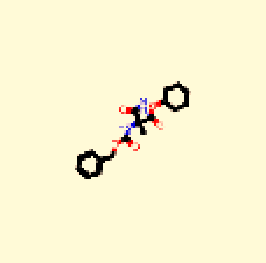 CC(NC(=O)OCc1ccccc1)(C(N)=O)C(=O)OC1CCCCC1